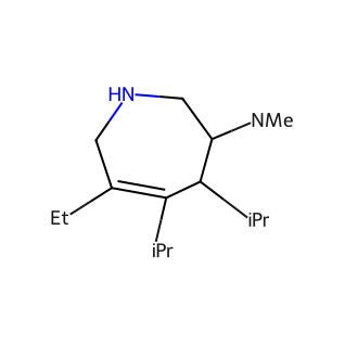 CCC1=C(C(C)C)C(C(C)C)C(NC)CNC1